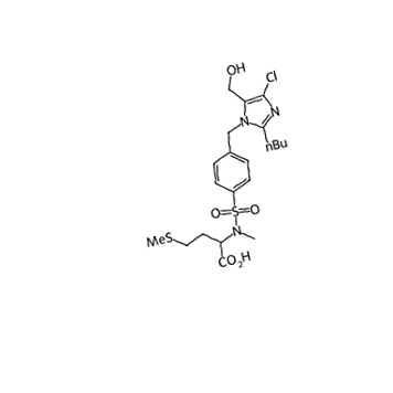 CCCCc1nc(Cl)c(CO)n1Cc1ccc(S(=O)(=O)N(C)C(CCSC)C(=O)O)cc1